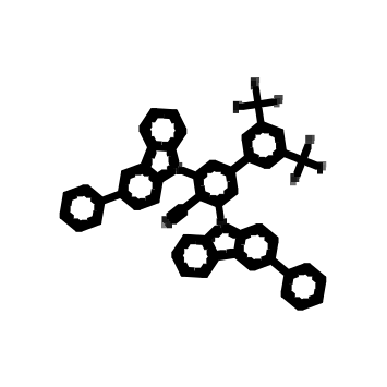 N#Cc1c(-n2c3ccccc3c3cc(-c4ccccc4)ccc32)cc(-c2cc(C(F)(F)F)cc(C(F)(F)F)c2)cc1-n1c2ccccc2c2cc(-c3ccccc3)ccc21